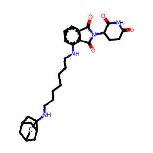 O=C1CCC(N2C(=O)c3cccc(NCCCCCCCNC45CC6CC(CC4C6)C5)c3C2=O)C(=O)N1